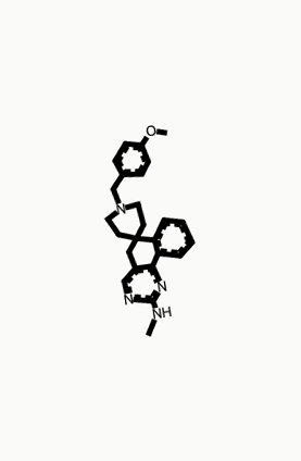 CNc1ncc2c(n1)-c1ccccc1C1(CCN(Cc3ccc(OC)cc3)CC1)C2